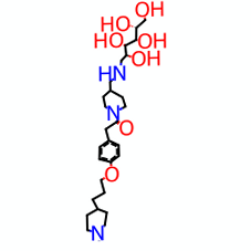 CN1CCC(CCCOc2ccc(CC(=O)N3CCC(CNC[C@H](O)[C@@H](O)[C@H](O)[C@H](O)CO)CC3)cc2)CC1